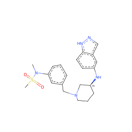 CN(c1cccc(CN2CCC[C@H](Nc3ccc4[nH]ncc4c3)C2)c1)S(C)(=O)=O